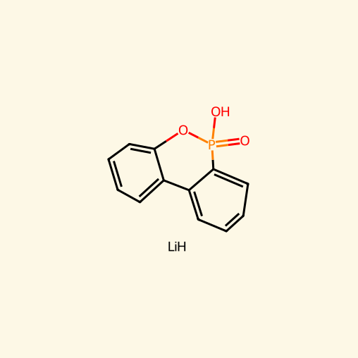 O=P1(O)Oc2ccccc2-c2ccccc21.[LiH]